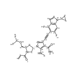 C=CC(=O)N1C[C@@H](n2nc(C#Cc3c(F)cc4c(ncn4C4CC4)c3F)c(C(N)=O)c2NC)C[C@@H]1COC(F)F